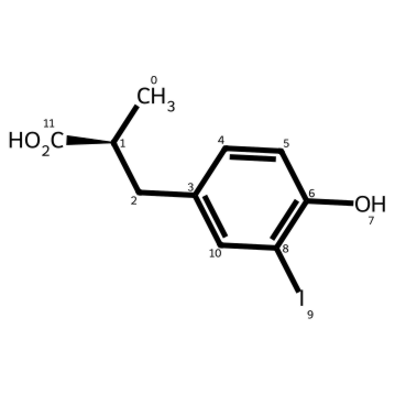 C[C@@H](Cc1ccc(O)c(I)c1)C(=O)O